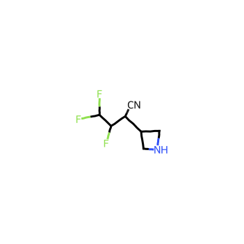 N#CC(C1CNC1)C(F)C(F)F